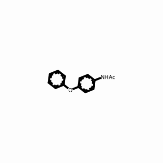 CC(=O)Nc1ccc(Oc2cc[c]cc2)cc1